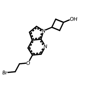 OC1CC(n2ccc3cc(OCCBr)cnc32)C1